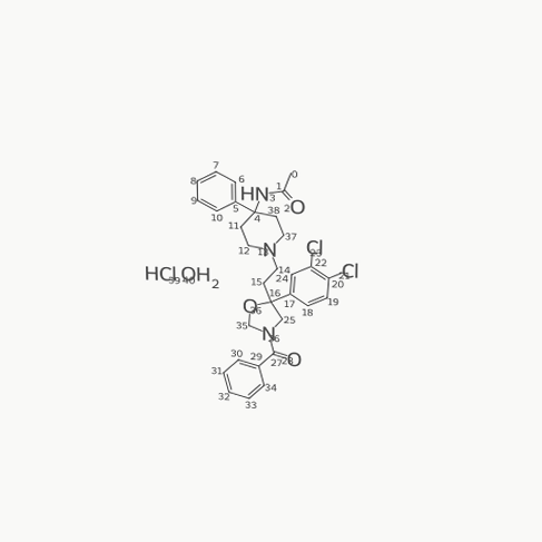 CC(=O)NC1(c2ccccc2)CCN(CCC2(c3ccc(Cl)c(Cl)c3)CN(C(=O)c3ccccc3)CO2)CC1.Cl.O